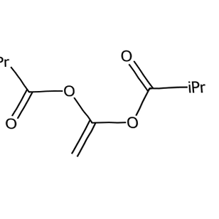 C=C(OC(=O)C(C)C)OC(=O)C(C)C